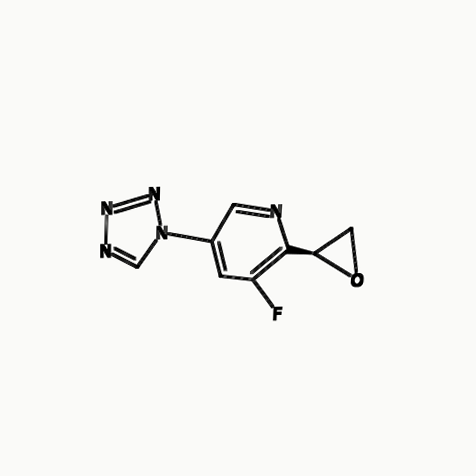 Fc1cc(-n2cnnn2)cnc1[C@H]1CO1